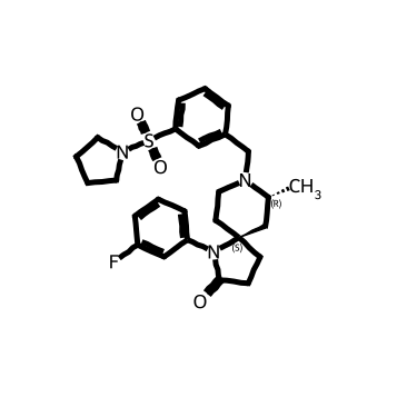 C[C@@H]1C[C@]2(CCC(=O)N2c2cccc(F)c2)CCN1Cc1cccc(S(=O)(=O)N2CCCC2)c1